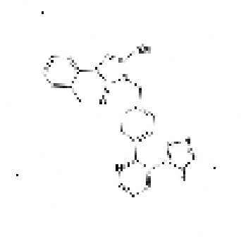 CCCCc1cn(-c2ccccc2C)c(=O)n1Cc1ccc(-c2ncccc2-c2nnn[nH]2)cc1